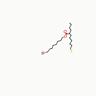 CCCCC(CCCCCCF)C(=O)OCCCCCCCCBr